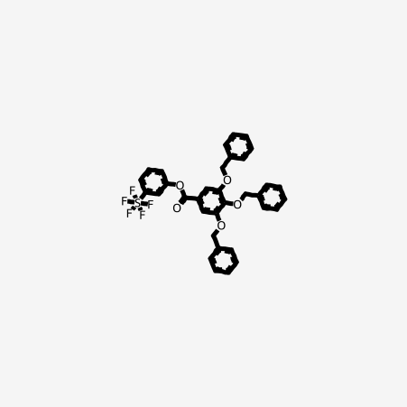 O=C(Oc1cccc(S(F)(F)(F)(F)F)c1)c1cc(OCc2ccccc2)c(OCc2ccccc2)c(OCc2ccccc2)c1